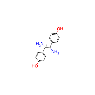 NC(c1ccc(O)cc1)[C@@H](N)c1ccc(O)cc1